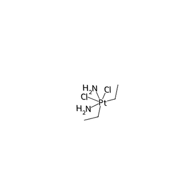 C[CH2][Pt]([NH2])([NH2])([Cl])([Cl])[CH2]C